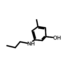 CCCNc1cc(C)cc(O)c1